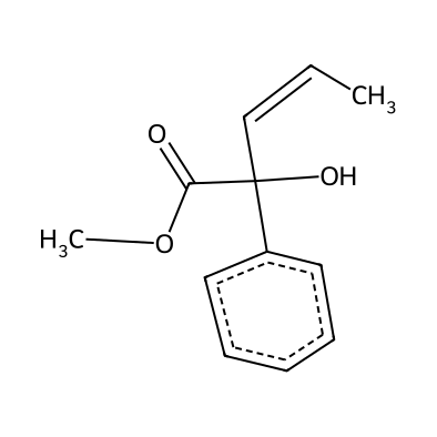 C/C=C\C(O)(C(=O)OC)c1ccccc1